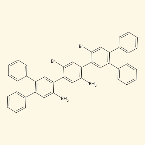 Bc1cc(-c2cc(-c3ccccc3)c(-c3ccccc3)cc2B)c(Br)cc1-c1cc(-c2ccccc2)c(-c2ccccc2)cc1Br